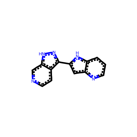 c1cnc2cc(-c3n[nH]c4cnccc34)[nH]c2c1